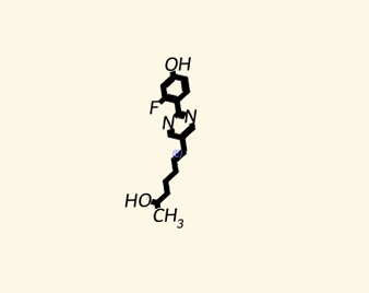 CC(O)CCC/C=C/c1cnc(-c2ccc(O)cc2F)nc1